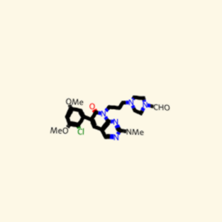 CNc1ncc2cc(-c3cc(OC)cc(OC)c3Cl)c(=O)n(CCCN3CCN(C=O)CC3)c2n1